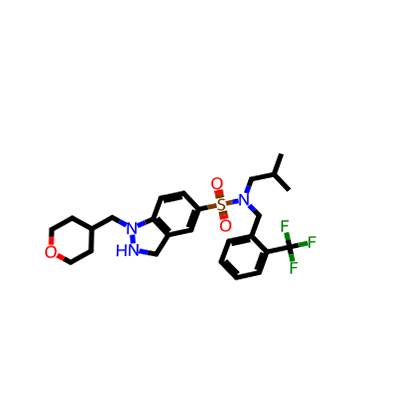 CC(C)CN(Cc1ccccc1C(F)(F)F)S(=O)(=O)c1ccc2c(c1)CNN2CC1CCOCC1